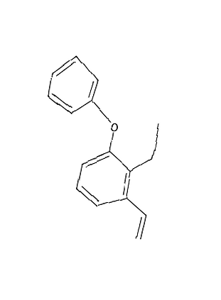 C=Cc1cccc(Oc2ccccc2)c1CC